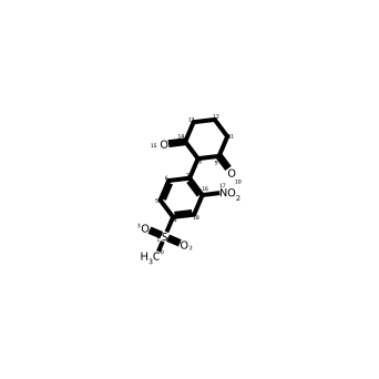 CS(=O)(=O)c1ccc(C2C(=O)CCCC2=O)c([N+](=O)[O-])c1